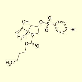 CCCCOC(=O)N1C[C@@H](OS(=O)(=O)c2ccc(Br)cc2)C[C@@]1(C)C(=O)O